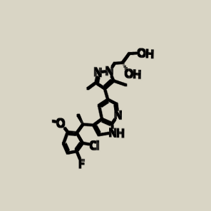 COc1ccc(F)c(Cl)c1[C@@H](C)c1c[nH]c2ncc(-c3c(C)nn(C[C@@H](O)CO)c3C)cc12